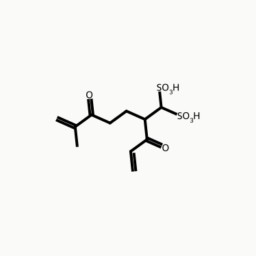 C=CC(=O)C(CCC(=O)C(=C)C)C(S(=O)(=O)O)S(=O)(=O)O